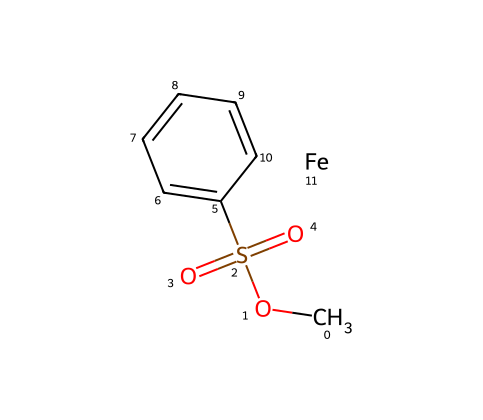 COS(=O)(=O)c1ccccc1.[Fe]